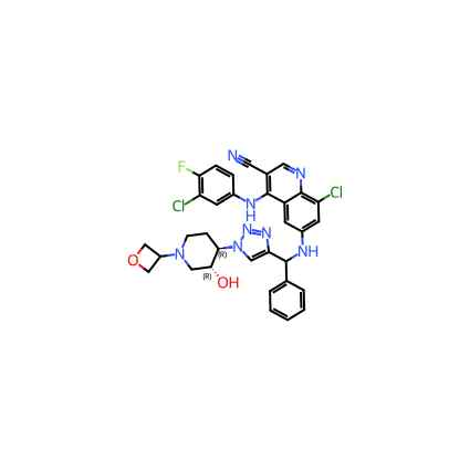 N#Cc1cnc2c(Cl)cc(NC(c3ccccc3)c3cn([C@@H]4CCN(C5COC5)C[C@H]4O)nn3)cc2c1Nc1ccc(F)c(Cl)c1